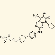 CC(=O)c1c(C)c2cnc(Nc3ccc(C4CCN(CCCS(C)(=O)=O)CC4)cn3)nc2n(C2CCCC2)c1=O